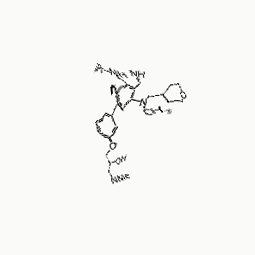 CNCC(O)COc1cccc(-c2cc(N(C)CC3CCOCC3)c(C=N)c(NC(C)C)n2)c1